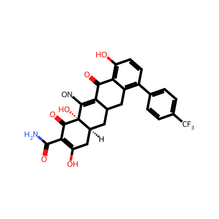 NC(=O)C1=C(O)C[C@@H]2CC3Cc4c(-c5ccc(C(F)(F)F)cc5)ccc(O)c4C(=O)C3=C(N=O)[C@]2(O)C1=O